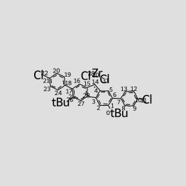 CC(C)(C)c1cc2c(cc1-c1ccc(Cl)cc1)[CH]c1cc(-c3ccc(Cl)cc3)c(C(C)(C)C)cc1-2.[Cl][Zr][Cl]